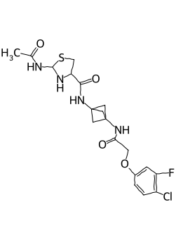 CC(=O)NC1NC(C(=O)NC23CC(NC(=O)COc4ccc(Cl)c(F)c4)(C2)C3)CS1